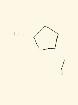 NC[C@H]1CC[C@@H](C=O)O1